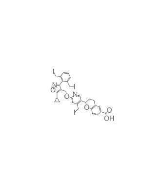 O=C(O)c1ccc2c(c1)CCC(c1cnc(OCc3c(-c4c(CI)cccc4CI)noc3C3CC3)cc1CI)O2